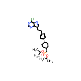 CC(C)OP(=O)(C[C@H]1CC[C@H](c2ccc(CCC3C=Nc4c(Cl)ncnc43)cc2)CC1)OC(C)C